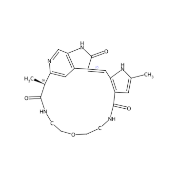 Cc1cc2c([nH]1)/C=C1\C(=O)Nc3cnc(cc31)[C@H](C)C(=O)NCCOCCNC2=O